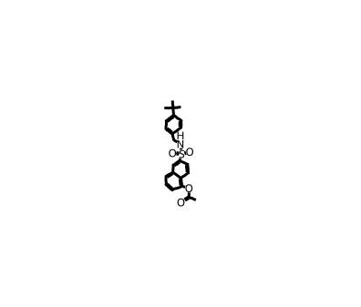 CC(=O)Oc1cccc2cc(S(=O)(=O)NCc3ccc(C(C)(C)C)cc3)ccc12